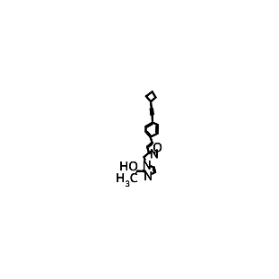 C[C@H](O)c1nccn1Cc1cc(-c2ccc(C#CC3CCC3)cc2)on1